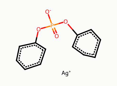 O=P([O-])(Oc1ccccc1)Oc1ccccc1.[Ag+]